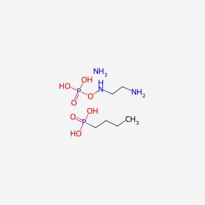 CCCCP(=O)(O)O.N.NCCNOP(=O)(O)O